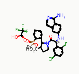 CCS(=O)(=O)c1ccccc1C1C(C(=O)O)CCN1C(=O)[C@@H](Nc1ccc2c(N)nccc2c1)c1cc(Cl)ccc1F.O=C(O)C(F)(F)F